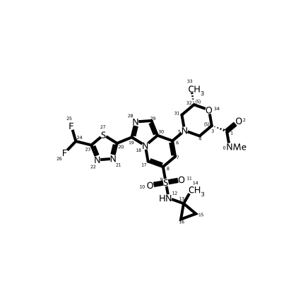 CNC(=O)[C@@H]1CN(c2cc(S(=O)(=O)NC3(C)CC3)cn3c(-c4nnc(C(F)F)s4)ncc23)C[C@H](C)O1